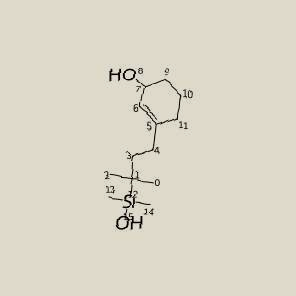 CC(C)(CCC1=CC(O)CCC1)[Si](C)(C)O